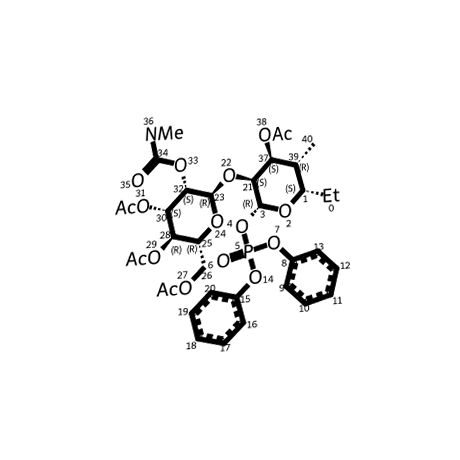 CC[C@@H]1O[C@H](OP(=O)(Oc2ccccc2)Oc2ccccc2)[C@@H](O[C@H]2O[C@H](COC(C)=O)[C@@H](OC(C)=O)[C@H](OC(C)=O)[C@@H]2OC(=O)NC)[C@@H](OC(C)=O)[C@@H]1C